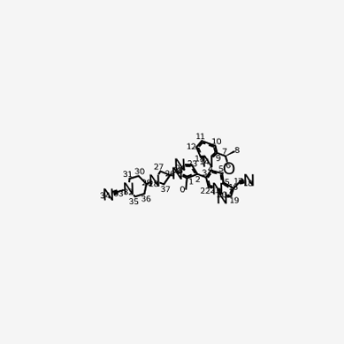 Cc1c(-c2cc(O[C@H](C)c3ccccn3)c3c(C#N)cnn3c2)cnn1C1CN(C2CCN(C#N)CC2)C1